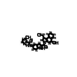 Cn1ccnc1C(=O)Nc1ccc2[nH]c(C(=O)N3CC(CCl)c4c3cc(O)c3ccccc43)cc2c1